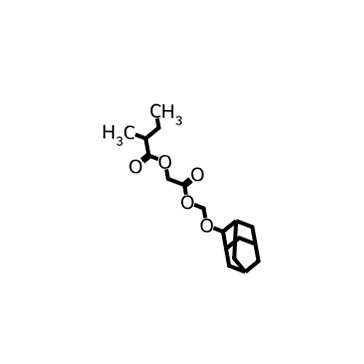 CCC(C)C(=O)OCC(=O)OCOC1C2CC3CC(C2)CC1C3